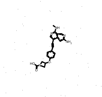 CNc1ncc(C#Cc2ccc(OC3CN(C(=O)O)C3)cc2)c2cc(N)ncc12